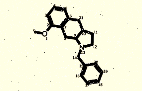 COc1cccc2c1CC1C(CCN1Cc1ccccc1)C2